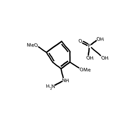 COc1ccc(OC)c(NN)c1.O=P(O)(O)O